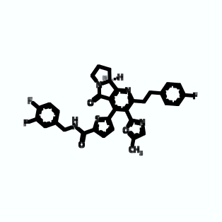 Cc1cnc(-c2c(CCc3ccc(F)cc3)nc3c(c2-c2ccc(C(=O)NCc4ccc(F)c(F)c4)s2)C(=O)N2CCC[C@@H]32)o1